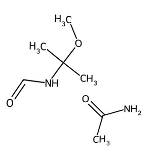 CC(N)=O.COC(C)(C)NC=O